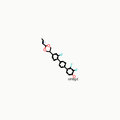 C/C=C/C1OCC(c2ccc(-c3ccc(-c4ccc(OCCCCCCC)c(F)c4F)cc3)c(F)c2)CO1